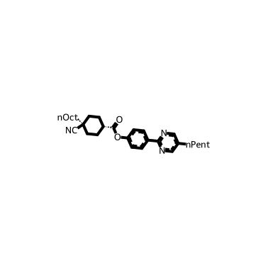 CCCCCCCC[C@]1(C#N)CC[C@H](C(=O)Oc2ccc(-c3ncc(CCCCC)cn3)cc2)CC1